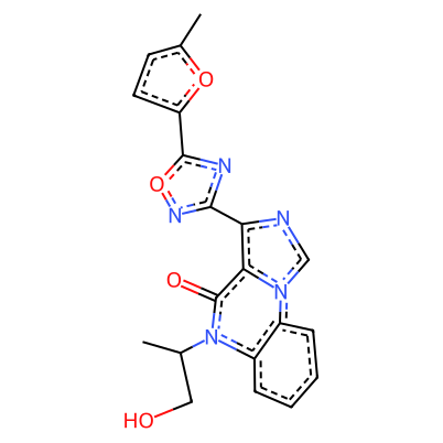 Cc1ccc(-c2nc(-c3ncn4c3c(=O)n(C(C)CO)c3ccccc34)no2)o1